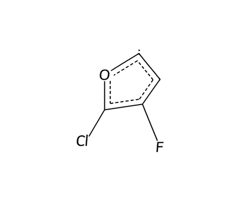 Fc1c[c]oc1Cl